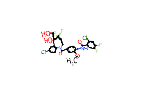 COc1cc(C(=O)N2CCC(F)(F)[C@](O)(CO)c3cc(Cl)ccc32)ccc1NC(=O)c1cc(F)c(F)cc1Cl